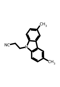 Cc1ccc2c(c1)c1cc(C)ccc1n2CCC#N